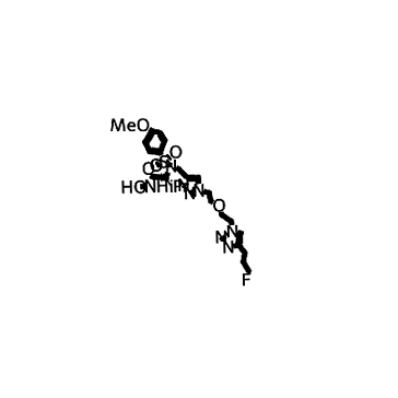 COc1ccc(S(=O)(=O)N(Cc2cn(CCOCCn3cc(CCCF)nn3)nn2)[C@@H](C(=O)NO)C(C)C)cc1